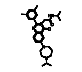 Cc1cc(C)cc(-c2nc3ccc(N4CCCN(C(C)C)CC4)cc3c(=O)n2CC(=O)NC(C)C)c1